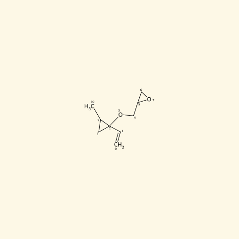 C=CC1(OCC2CO2)CC1C